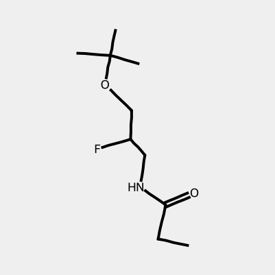 CCC(=O)NCC(F)COC(C)(C)C